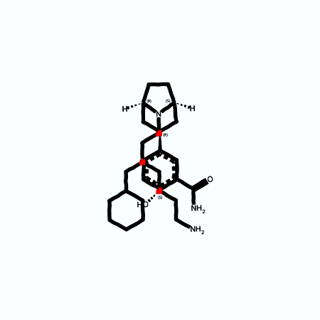 NCC[C@H](O)CN(CCN1[C@@H]2CC[C@H]1C[C@@H](c1cccc(C(N)=O)c1)C2)CC1CCCCC1